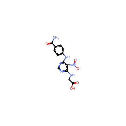 NC(=O)c1ccc(Nc2ncnc(NCC(=O)O)c2[N+](=O)[O-])cc1